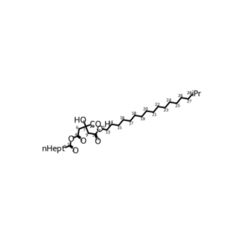 CCCCCCCC(=O)OC(=O)CC(O)(CC(=O)OCCCCCCCCCCCCCCCC(C)C)C(=O)O